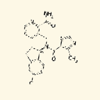 Cc1ncsc1C(=O)N(Cc1cccnc1C(N)=O)[C@@H]1CCc2cc(Cl)ccc21